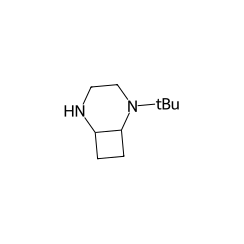 CC(C)(C)N1CCNC2CCC21